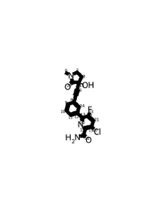 CN1CC[C@@](O)(C#Cc2cccc(-c3nc(C(N)=O)c(Cl)cc3F)c2)C1=O